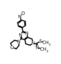 C/N=C(\SC)N1CCc2c(nc(-c3ccc(N=O)cc3)nc2N2CCOCC2)C1